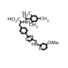 COc1ccnc(NCc2csc(-c3ccc(CC(NC(=O)c4c(C)cc(C)cc4C)C(=O)O)cc3)n2)c1